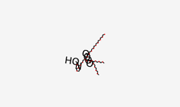 CCCCCCCCCCCCCCCC(=O)OCC(CCCCN(CCO)C1CCCC1)COC(=O)CC(CCCCCC)CCCCCCCC